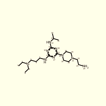 CCN(CC)CCCNc1nc(NC(C)C)nc(N2CCN(CCN)CC2)n1